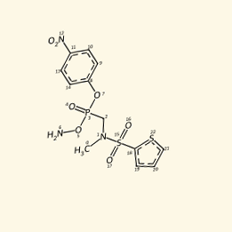 CN(CP(=O)(ON)Oc1ccc([N+](=O)[O-])cc1)S(=O)(=O)c1cccs1